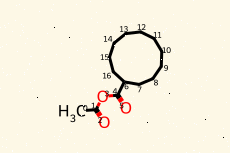 CC(=O)OC(=O)C1CCCCCCCCCC1